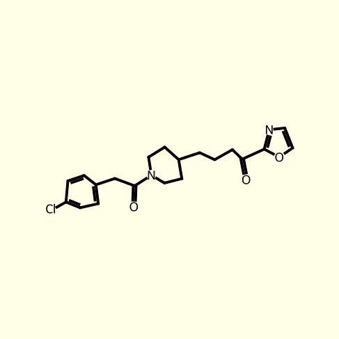 O=C(CCCC1CCN(C(=O)Cc2ccc(Cl)cc2)CC1)c1ncco1